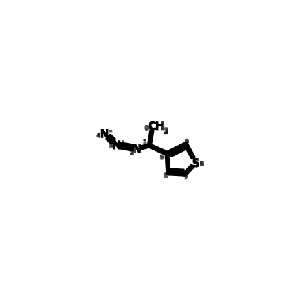 CC(N=[N+]=[N-])c1ccsc1